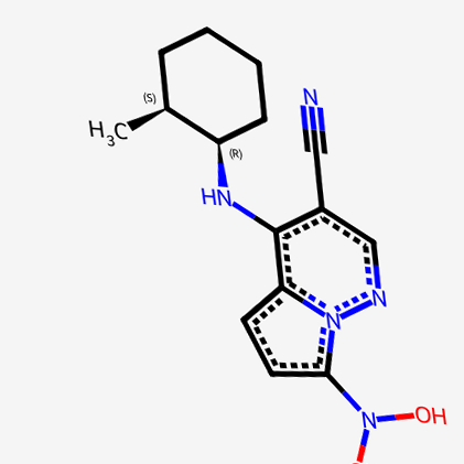 C[C@H]1CCCC[C@H]1Nc1c(C#N)cnn2c(N(O)O)ccc12